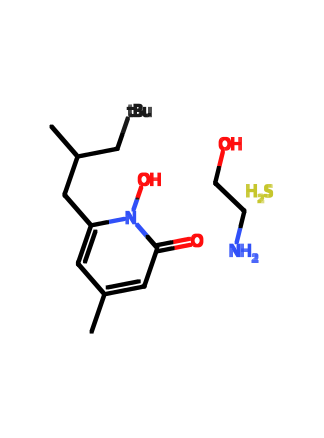 Cc1cc(CC(C)CC(C)(C)C)n(O)c(=O)c1.NCCO.S